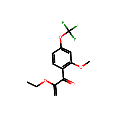 C=C(OCC)C(=O)c1ccc(OC(F)(F)F)cc1OC